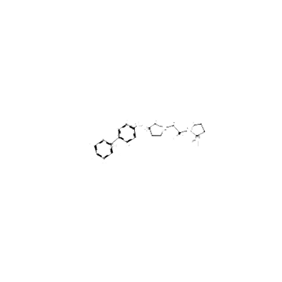 C[C@@H]1CCCN1C(=O)CN1CC[C@H](Oc2ccc(-c3ccccc3)cc2)C1